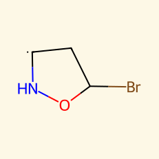 BrC1C[CH]NO1